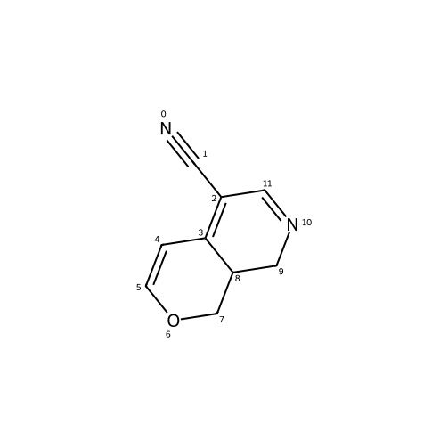 N#CC1=C2C=COCC2CN=C1